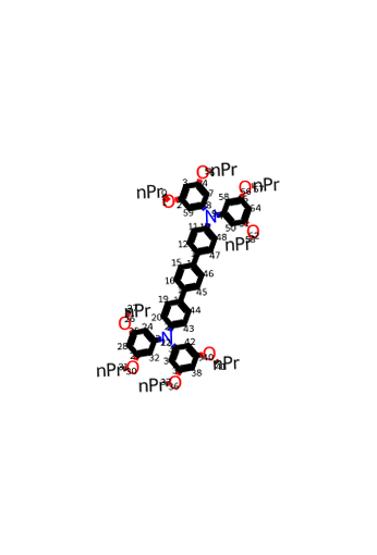 CCCOc1cc(OCCC)cc(N(c2ccc(-c3ccc(-c4ccc(N(c5cc(OCCC)cc(OCCC)c5)c5cc(OCCC)cc(OCCC)c5)cc4)cc3)cc2)c2cc(OCCC)cc(OCCC)c2)c1